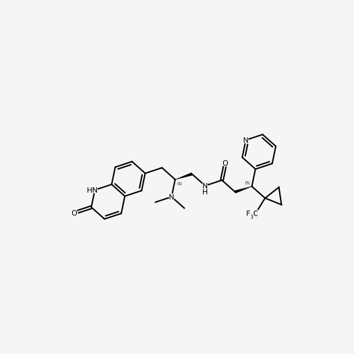 CN(C)[C@H](CNC(=O)C[C@@H](c1cccnc1)C1(C(F)(F)F)CC1)Cc1ccc2[nH]c(=O)ccc2c1